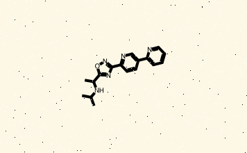 CC(C)NC(C)c1nc(-c2ccc(-c3ccccn3)cn2)no1